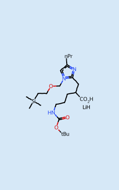 CCCc1cn(COCC[Si](C)(C)C)c(CC(CCCNC(=O)OC(C)(C)C)C(=O)O)n1.[LiH]